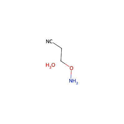 N#CCCON.O